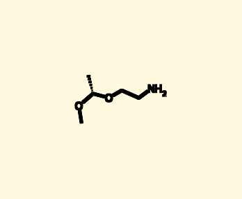 CO[C@H](C)OCCN